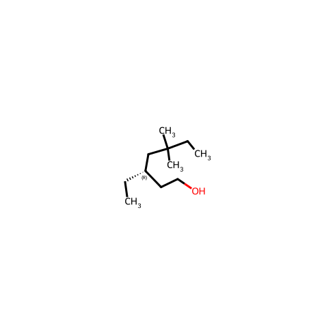 CC[C@@H](CCO)CC(C)(C)CC